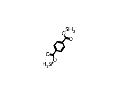 O=C(O[SiH3])c1ccc(C(=O)O[SiH3])cc1